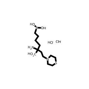 Cl.Cl.NC(CCCCB(O)O)(CCN1CCSCC1)C(=O)O